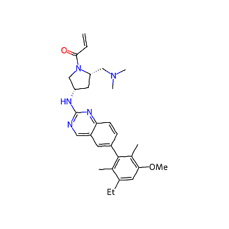 C=CC(=O)N1C[C@@H](Nc2ncc3cc(-c4c(C)c(CC)cc(OC)c4C)ccc3n2)C[C@H]1CN(C)C